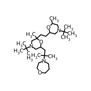 CC1CN(C(C)(C)C)CC(CCC2(C)CN(C(C)(C)C)CC(CC(C)(C)N3CCCOCC3)O2)O1